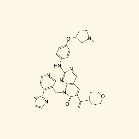 C=C(c1cc2cnc(Nc3ccc(OC4CCN(C)C4)cc3)nc2n(Cc2cnccc2-c2nccs2)c1=O)C1CCOCC1